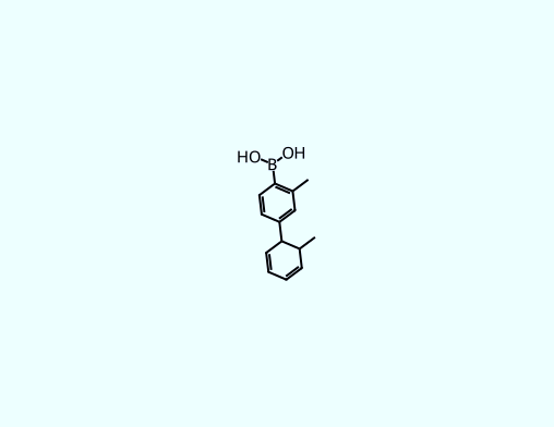 Cc1cc(C2C=CC=CC2C)ccc1B(O)O